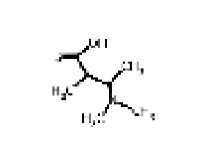 CC(C(O)=S)C(C)N(C)C